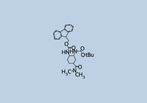 CN(C)C(=O)C1CCC(NC(=O)OCC2c3ccccc3-c3ccccc32)C(NC(=O)OC(C)(C)C)C1